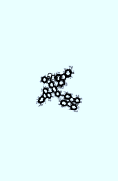 C[Si]1(C)c2ccccc2-c2cc3c(-c4ccc5c6c(cccc46)-c4ccccc4-5)c4ccc(-c5ccc6c(c5)C5(c7ccccc7-c7ccccc75)c5ccccc5-6)cc4c(-c4ccc5c6c(cccc46)-c4ccccc4-5)c3cc21